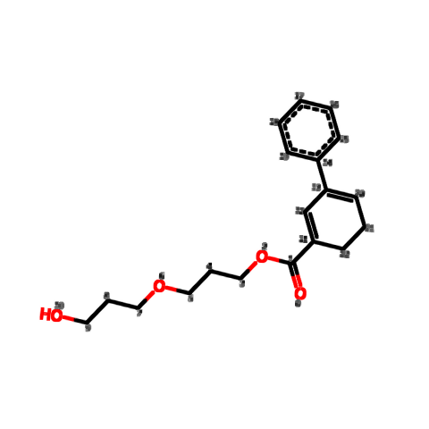 O=C(OCCCOCCCO)C1=CC(c2ccccc2)=CCC1